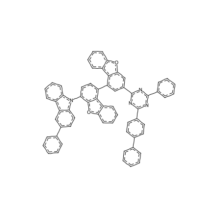 c1ccc(-c2ccc(-c3nc(-c4ccccc4)nc(-c4cc(-c5ccc(-n6c7ccccc7c7cc(-c8ccccc8)ccc76)c6oc7ccccc7c56)c5c(c4)oc4ccccc45)n3)cc2)cc1